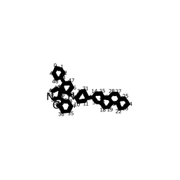 c1ccc(-c2ccc(N(c3ccc(-c4ccc5c(ccc6c7ccccc7ccc56)c4)cc3)c3cccc4oc5ncccc5c34)cc2)cc1